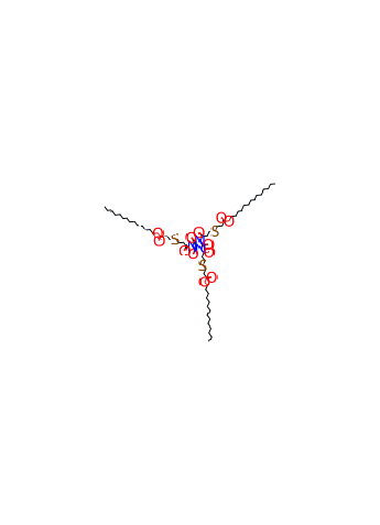 CCCCCCCCCCCCCCOC(=O)CCSCCC(=O)n1c(=O)n(C(=O)CCSCCC(=O)OCCCCCCCCCCCCCC)c(=O)n(C(=O)CCSCCC(=O)OCCCCCCCCCCCCCC)c1=O